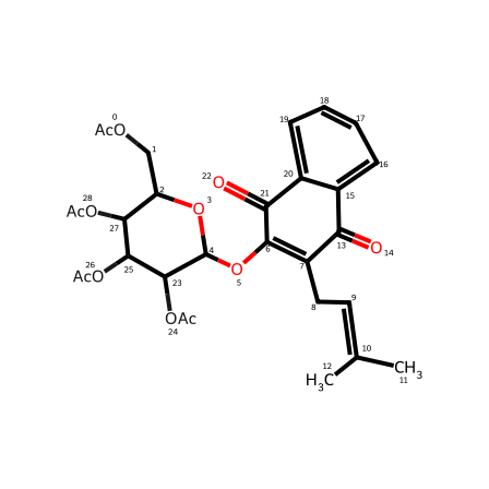 CC(=O)OCC1OC(OC2=C(CC=C(C)C)C(=O)c3ccccc3C2=O)C(OC(C)=O)C(OC(C)=O)C1OC(C)=O